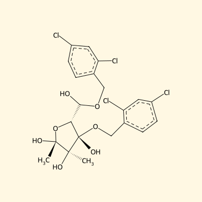 C[C@@]1(O)[C@@](O)(OCc2ccc(Cl)cc2Cl)[C@@H](C(O)OCc2ccc(Cl)cc2Cl)O[C@@]1(C)O